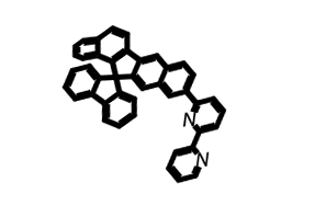 c1ccc(-c2cccc(-c3ccc4cc5c(cc4c3)C3(c4ccccc4-c4ccccc43)c3c-5ccc4ccccc34)n2)nc1